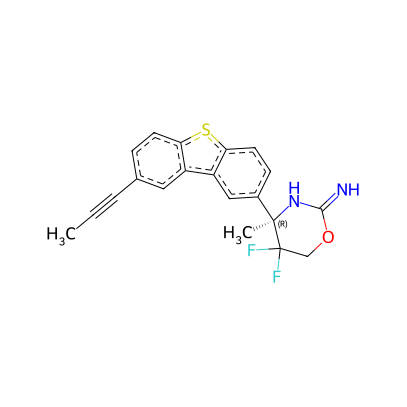 CC#Cc1ccc2sc3ccc([C@@]4(C)NC(=N)OCC4(F)F)cc3c2c1